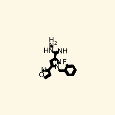 N=C(NN)c1cc(-c2ccon2)n(Cc2ccccc2F)n1